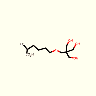 CCC(CCCCOCC(CO)(CO)CO)C(=O)O